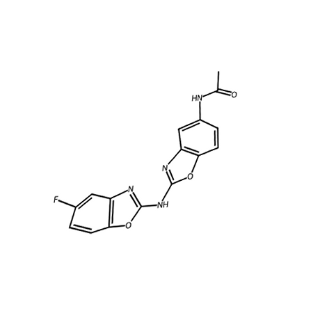 CC(=O)Nc1ccc2oc(Nc3nc4cc(F)ccc4o3)nc2c1